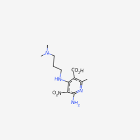 Cc1nc(N)c([N+](=O)[O-])c(NCCCN(C)C)c1C(=O)O